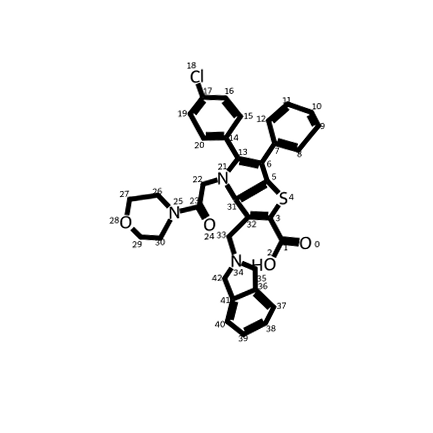 O=C(O)c1sc2c(-c3ccccc3)c(-c3ccc(Cl)cc3)n(CC(=O)N3CCOCC3)c2c1CN1Cc2ccccc2C1